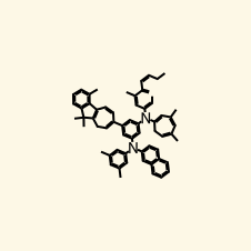 C=C(/C=C\CC)/C(C)=C\C(=C/C)N(C1=CC(C)=CC(C)=CC1)c1cc(C2=CCC3=C(C=C2)c2c(C)cccc2C3(C)C)cc(N(c2cc(C)cc(C)c2)c2ccc3ccccc3c2)c1